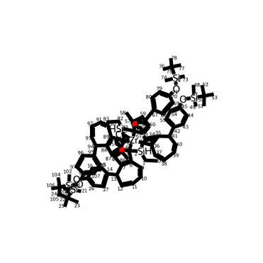 CC[SiH]1[C]2(C(C)=CC3=C2C=CC=CC3c2ccc(O[Si](C)(C)C(C)(C)C)cc2)[Zr]2([Cl])([Cl])([C]13C(C)=CC1=C3C=CC=CC1c1ccc(O[Si](C)(C)C(C)(C)C)cc1)[C]1(C(C)=CC3=C1C=CC=CC3c1ccc(O[Si](C)(C)C(C)(C)C)cc1)[SiH](CC)[C]21C(C)=CC2=C1C=CC=CC2c1ccc(O[Si](C)(C)C(C)(C)C)cc1